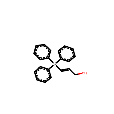 OCC=C[Si](c1ccccc1)(c1ccccc1)c1ccccc1